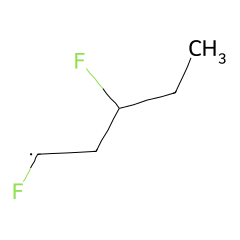 CCC(F)C[CH]F